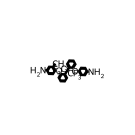 Cc1cc(N)ccc1Oc1ccccc1C(c1ccccc1Oc1ccc(N)cc1)(C(F)(F)F)C(F)(F)F